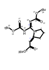 COC(=O)/C=C1\CCCN1/C(=N\C(=O)OC(C)(C)C)NC(=O)OC(C)(C)C